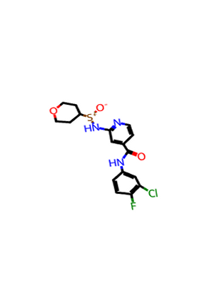 O=C(Nc1ccc(F)c(Cl)c1)c1ccnc(N[S+]([O-])C2CCOCC2)c1